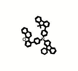 CC1(C)c2ccccc2-c2cccc(-c3ccc(N(c4ccc(-c5cccc6oc7c8ccccc8ccc7c56)cc4)c4ccc5c(c4)C4(CCCCC4)c4ccccc4-5)cc3)c21